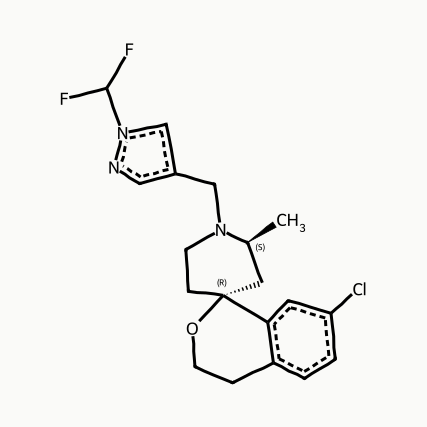 C[C@H]1C[C@@]2(CCN1Cc1cnn(C(F)F)c1)OCCc1ccc(Cl)cc12